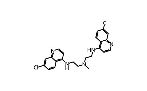 CN(CCNc1ccnc2cc(Cl)ccc12)CCNc1ccnc2cc(Cl)ccc12